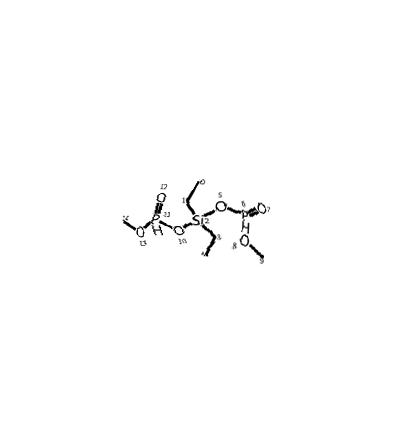 CC[Si](CC)(O[PH](=O)OC)O[PH](=O)OC